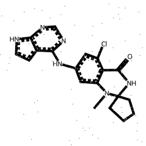 CN1c2cc(Nc3ncnc4[nH]ccc34)cc(Cl)c2C(=O)NC12CCCC2